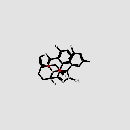 Cn1nc2c(c1-c1cc(F)cc(F)c1)C[C@H]1CCC[C@@H]2N1C(=O)c1cccc(F)c1-c1ncco1